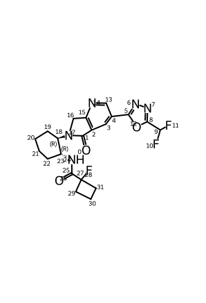 O=C1c2cc(-c3nnc(C(F)F)o3)cnc2CN1[C@@H]1CCCC[C@H]1NC(=O)C1(F)CCC1